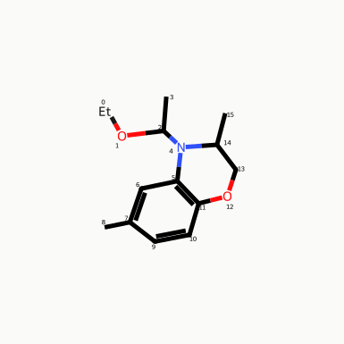 CCOC(C)N1c2cc(C)ccc2OCC1C